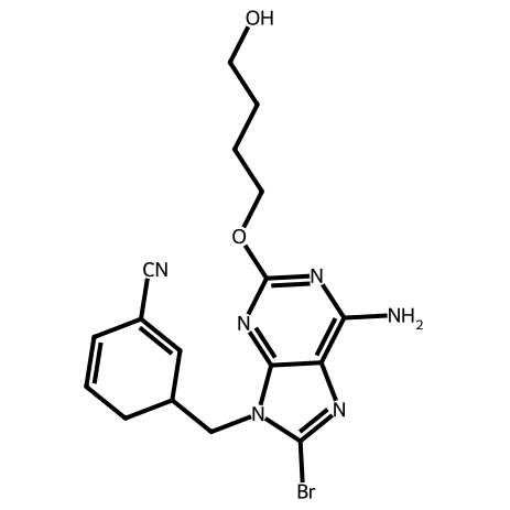 N#CC1=CC(Cn2c(Br)nc3c(N)nc(OCCCCO)nc32)CC=C1